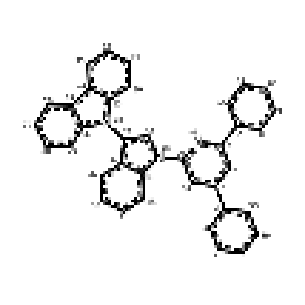 c1ccc(-c2cc(-c3ccccc3)nc(-n3cc(-n4c5ccccc5c5ccccc54)c4ccccc43)c2)cc1